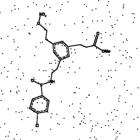 COC(=O)CCc1cc(CCN[S+]([O-])c2ccc(Cl)cc2)cc(CCO[N+](=O)[O-])c1